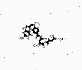 CN(CC1CNc2nc(N)[nH]c(=O)c2N1)c1ccc(C(=O)NC(CC(C=O)C(=O)OC(=O)CCC(N)C(=O)O)C(=O)O)cc1